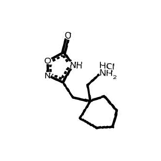 Cl.NCC1(Cc2noc(=O)[nH]2)CCCCC1